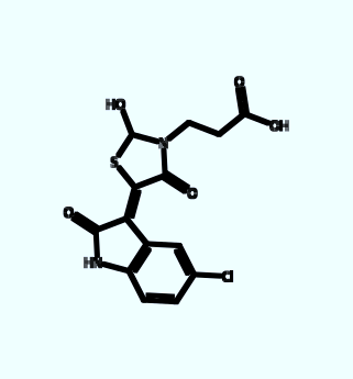 O=C(O)CCN1C(=O)/C(=C2/C(=O)Nc3ccc(Cl)cc32)SC1O